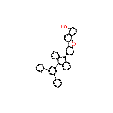 Oc1cccc2c1ccc1c3cc(-c4c5ccccc5c(-c5cc(-c6ccccc6)cc(-c6ccccc6)c5)c5ccccc45)ccc3oc21